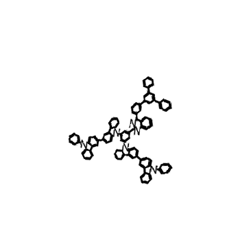 c1ccc(-c2cc(-c3ccccc3)cc(-c3cccc(-c4nc(-c5cc(-n6c7ccccc7c7cc(-c8ccc9c(c8)c8ccccc8n9-c8ccccc8)ccc76)cc(-n6c7ccccc7c7cc(-c8ccc9c(c8)c8ccccc8n9-c8ccccc8)ccc76)c5)nc5ccccc45)c3)c2)cc1